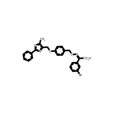 Cc1oc(-c2ccccc2)nc1COc1ccc(CON=C(C(=O)O)c2cccc(Br)c2)cc1